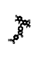 O=C(O)c1ccc(N2CC3(CCN(Cc4cc(C(F)(F)F)c(Cl)cc4-c4ccc(F)c(F)c4F)CC3)OC2=O)cc1